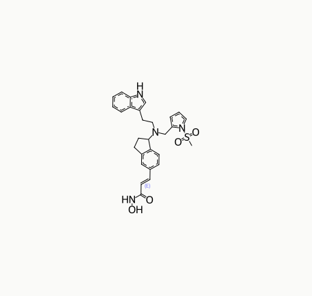 CS(=O)(=O)n1cccc1CN(CCc1c[nH]c2ccccc12)C1CCc2cc(/C=C/C(=O)NO)ccc21